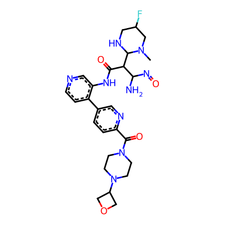 CN1CC(F)CNC1C(C(=O)Nc1cnccc1-c1ccc(C(=O)N2CCN(C3COC3)CC2)nc1)C(N)N=O